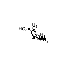 CN\N=C/C(C)=C/C=C(/C)C(=CCBr)[C@H]1C[C@H]1CO